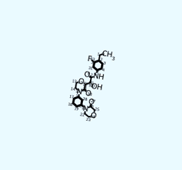 CCc1ccc(NC(=O)[C@H](O)[C@H]2OCCN(c3cccc(N4CCOCC4=O)c3)C2=O)cc1F